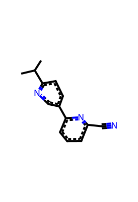 CC(C)c1ccc(-c2cccc(C#N)n2)cn1